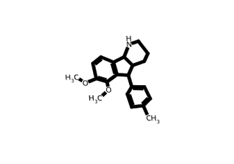 COc1ccc2c(c1OC)C(c1ccc(C)cc1)C1CCCNC21